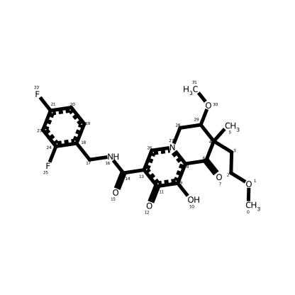 COCCC1(C)C(=O)c2c(O)c(=O)c(C(=O)NCc3ccc(F)cc3F)cn2CC1OC